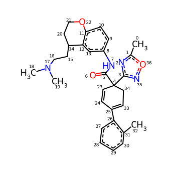 Cc1nc(C2(C(=O)Nc3ccc4c(c3)C(CCN(C)C)CCO4)C=CC(c3ccccc3C)=CC2)no1